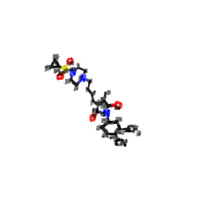 CC1=C(CCCCN2CCN(S(=O)(=O)C3CC3)CC2)C(=O)N(c2ccc(C#N)c(C(F)(F)F)c2)C1=O